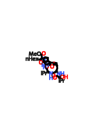 CCCCCCc1oc(-c2nc3oc2C24c5ccccc5NC2Oc2ccc(cc24)C[C@H](NC(=O)[C@@H](O)C(C)C)C(=O)N[C@H]3C(C)C)nc1C(=O)OC